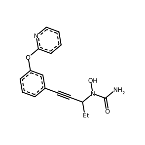 CCC(C#Cc1cccc(Oc2ccccn2)c1)N(O)C(N)=O